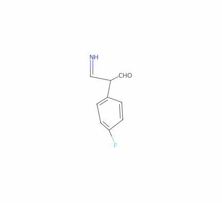 N=CC(C=O)c1ccc(F)cc1